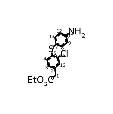 CCOC(=O)Cc1ccc(Sc2ccc(N)cc2)c(Cl)c1